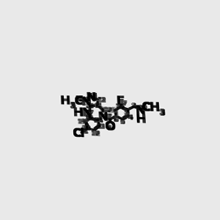 CNCc1ccc(C(=O)N2Cc3cnn(C)c3Nc3cc(Cl)ccc32)cc1F